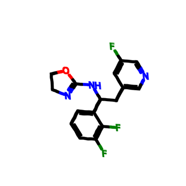 Fc1cncc(CC(NC2=NCCO2)c2cccc(F)c2F)c1